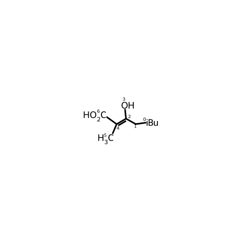 CCC(C)CC(O)=C(C)C(=O)O